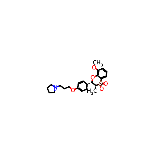 COc1cccc2c1O[C@@H](C1C=CC(OCCCN3CCCC3)=CC1)[C@H](C)S2(=O)=O